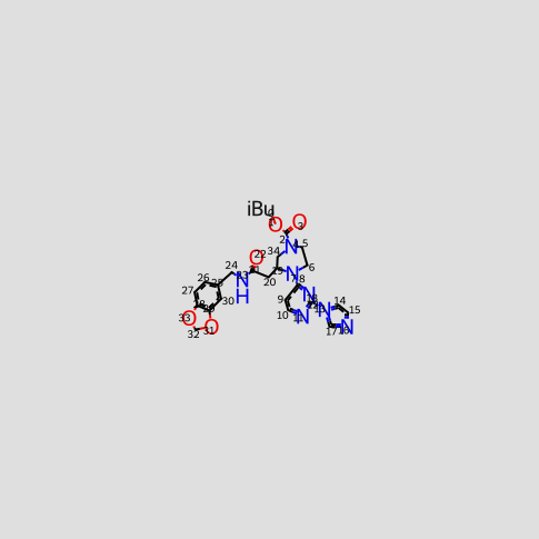 CCC(C)OC(=O)N1CCN(c2ccnc(-n3ccnc3)n2)C(CC(=O)NCc2ccc3c(c2)OCO3)C1